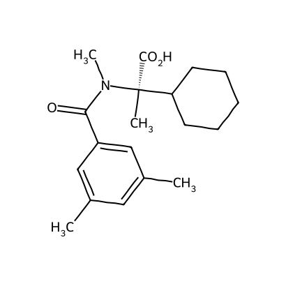 Cc1cc(C)cc(C(=O)N(C)[C@@](C)(C(=O)O)C2CCCCC2)c1